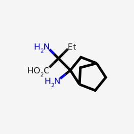 CCC(N)(C(=O)O)C1(N)CC2CCC1C2